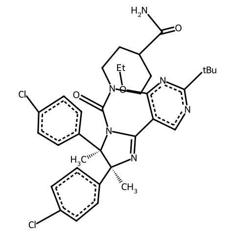 CCOc1nc(C(C)(C)C)ncc1C1=N[C@@](C)(c2ccc(Cl)cc2)[C@@](C)(c2ccc(Cl)cc2)N1C(=O)N1CCC(C(N)=O)CC1